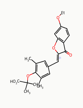 CCOc1ccc2c(c1)O/C(=C\c1cc(C)c(OC(C)(C)C(=O)O)c(C)c1)C2=O